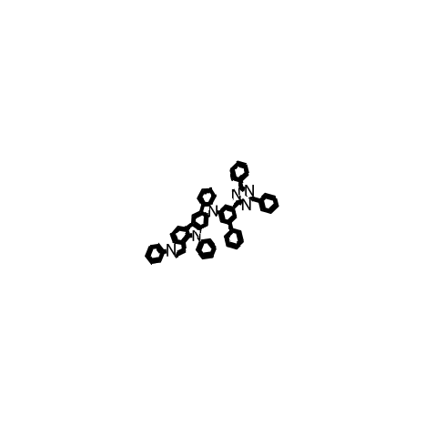 c1ccc(-c2cc(-c3nc(-c4ccccc4)nc(-c4ccccc4)n3)cc(-n3c4ccccc4c4cc5c6ccc7c(ccn7-c7ccccc7)c6n(-c6ccccc6)c5cc43)c2)cc1